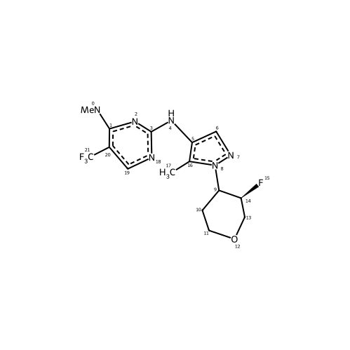 CNc1nc(Nc2cnn(C3CCOC[C@@H]3F)c2C)ncc1C(F)(F)F